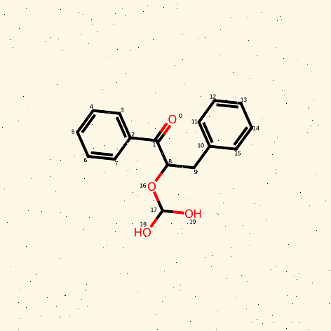 O=C(c1ccccc1)C(Cc1ccccc1)OC(O)O